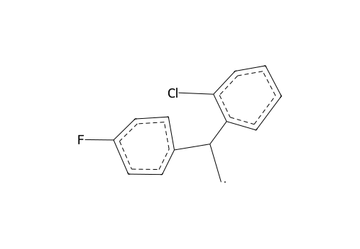 [CH2]C(c1ccc(F)cc1)c1ccccc1Cl